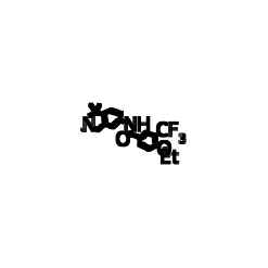 CCOc1ccc(C(=O)Nc2ccc3c(c2)CN(C)CC3(C)C)cc1C(F)(F)F